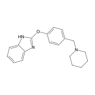 c1ccc2[nH]c(Oc3ccc(CN4CCCCC4)cc3)nc2c1